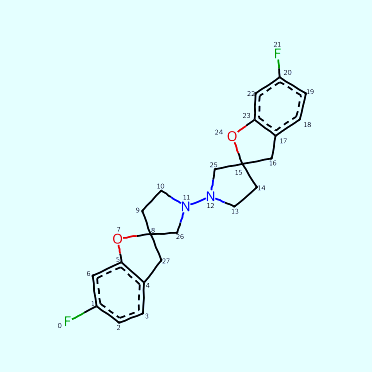 Fc1ccc2c(c1)OC1(CCN(N3CCC4(Cc5ccc(F)cc5O4)C3)C1)C2